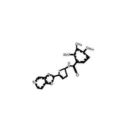 COc1ccc(C(=O)NC2CC=C(c3nc4cnccc4o3)S2)c(OC)c1OC